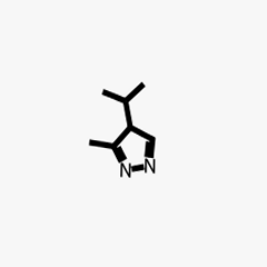 CC1=NN=CC1C(C)C